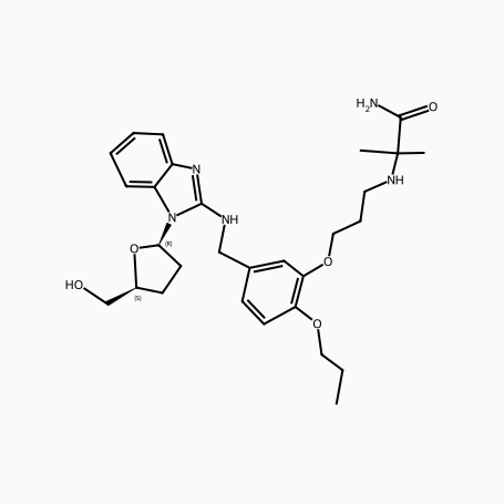 CCCOc1ccc(CNc2nc3ccccc3n2[C@H]2CC[C@@H](CO)O2)cc1OCCCNC(C)(C)C(N)=O